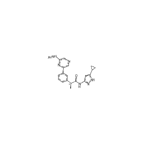 CC(=O)Nc1cncc(-c2cccc([C@H](C)C(=O)Nc3cc(C4CC4)[nH]n3)c2)n1